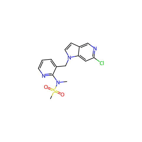 CN(c1ncccc1Cn1ccc2cnc(Cl)cc21)S(C)(=O)=O